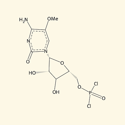 COc1cn([C@@H]2O[C@H](COP(=O)(Cl)Cl)C(O)[C@@H]2O)c(=O)nc1N